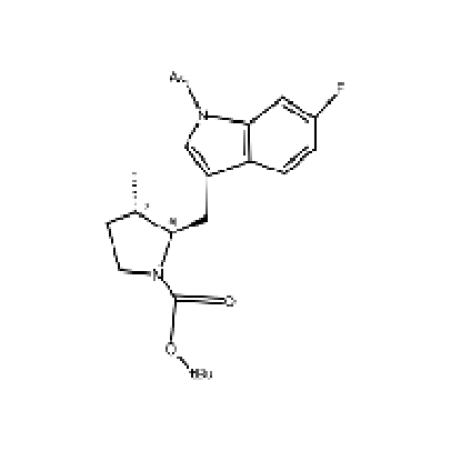 CC(=O)n1cc(C[C@@H]2[C@@H](C)CCN2C(=O)OC(C)(C)C)c2ccc(F)cc21